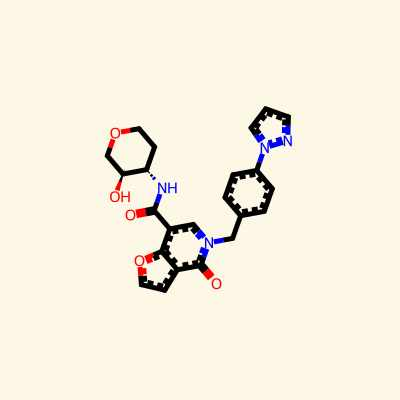 O=C(N[C@H]1CCOC[C@@H]1O)c1cn(Cc2ccc(-n3cccn3)cc2)c(=O)c2ccoc12